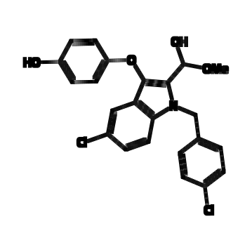 COC(O)c1c(Oc2ccc(O)cc2)c2cc(Cl)ccc2n1Cc1ccc(Cl)cc1